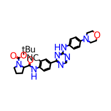 CC(C)(C)OC(=O)N1CCCC1C(=O)Nc1ccc(-c2ncnc(Nc3ccc(N4CCOCC4)cc3)n2)cc1C#N